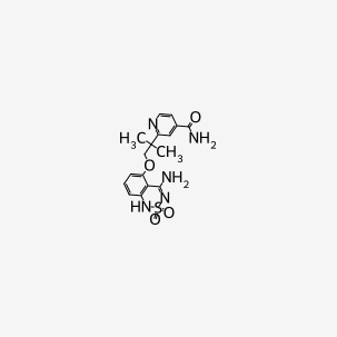 CC(C)(COc1cccc2c1C(N)=NS(=O)(=O)N2)c1cc(C(N)=O)ccn1